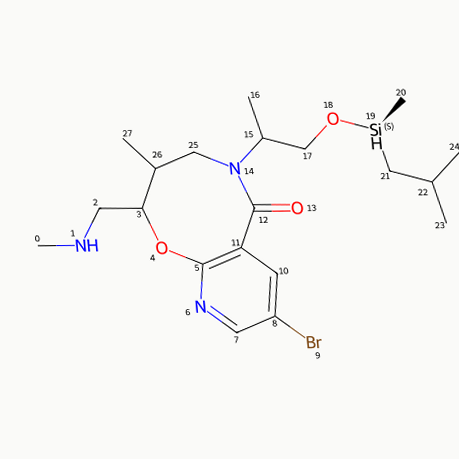 CNCC1Oc2ncc(Br)cc2C(=O)N(C(C)CO[Si@@H](C)CC(C)C)CC1C